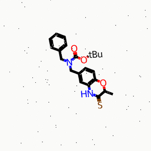 CC1Oc2ccc(CN(Cc3ccccc3)C(=O)OC(C)(C)C)cc2NC1=S